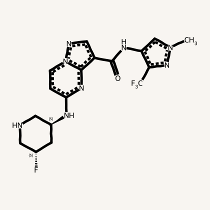 Cn1cc(NC(=O)c2cnn3ccc(N[C@@H]4CNC[C@@H](F)C4)nc23)c(C(F)(F)F)n1